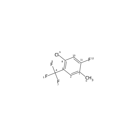 Cc1cc(C(F)(F)F)c(Cl)cc1F